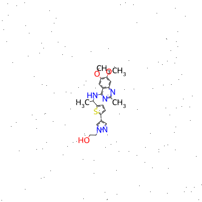 COc1cc2nc(C)nc(NC(C)c3ccc(-c4cnn(CCO)c4)s3)c2cc1OC